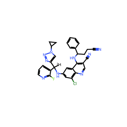 [2H]C(Nc1cc(Cl)c2ncc(C#N)c(NC(CCC#N)c3ccccc3)c2c1)(c1cn(C2CC2)nn1)c1cccnc1F